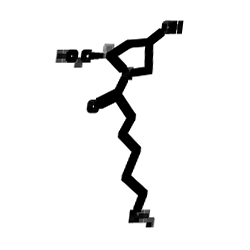 NCCCCCC(=O)N1CC(O)C[C@H]1C(=O)O